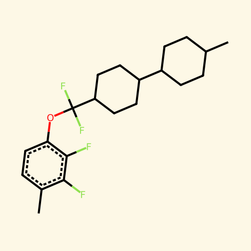 Cc1ccc(OC(F)(F)C2CCC(C3CCC(C)CC3)CC2)c(F)c1F